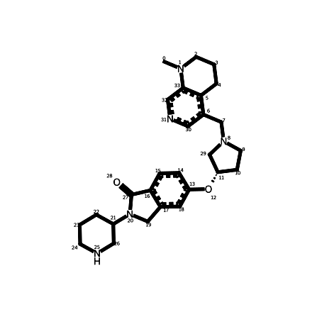 CN1CCCc2c(CN3CC[C@H](Oc4ccc5c(c4)CN(C4CCCNC4)C5=O)C3)cncc21